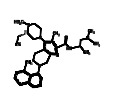 Cc1c(C(=O)NC(C)CN(C)C)nc2c(c1N1CCN(C(=O)O)[C@@H](CC#N)C1)CCN(c1cccc3cccc(C)c13)C2